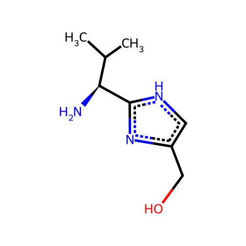 CC(C)[C@H](N)c1nc(CO)c[nH]1